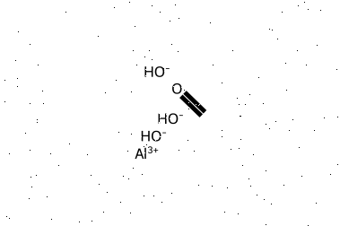 C=O.[Al+3].[OH-].[OH-].[OH-]